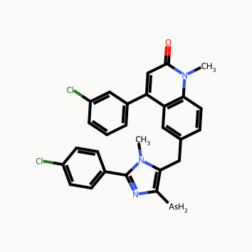 Cn1c(-c2ccc(Cl)cc2)nc([AsH2])c1Cc1ccc2c(c1)c(-c1cccc(Cl)c1)cc(=O)n2C